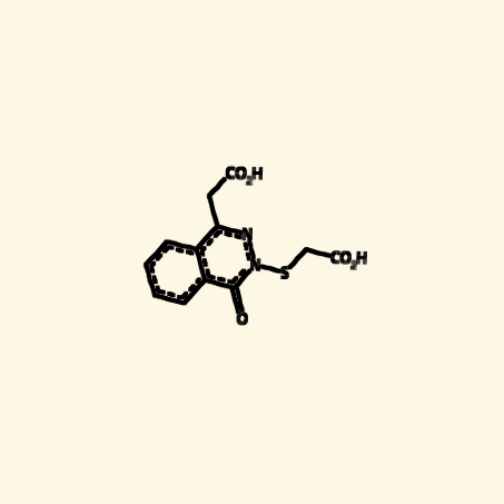 O=C(O)CSn1nc(CC(=O)O)c2ccccc2c1=O